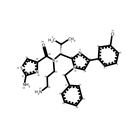 CC(C)[C@H](c1nc(-c2cccc(Cl)c2)cn1Cc1ccccc1)N(CCCN)C(=O)c1csc(N)n1